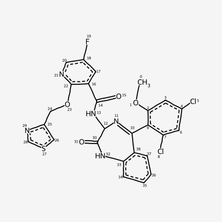 COc1cc(Cl)cc(Cl)c1C1=NC(NC(=O)c2cc(F)cnc2OCc2cscn2)C(=O)Nc2ccccc21